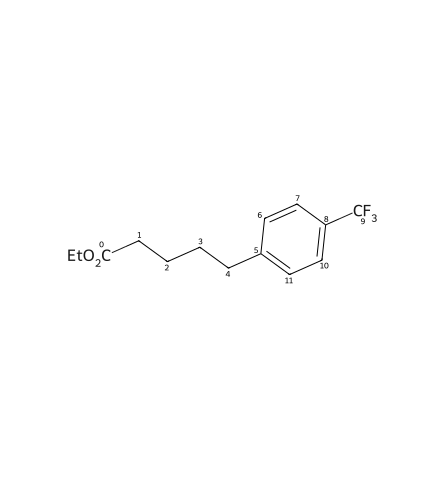 CCOC(=O)CCCCc1ccc(C(F)(F)F)cc1